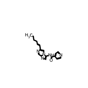 CCCC/C=C/c1cn2c(NC(=O)c3ccncc3)cnc2cn1